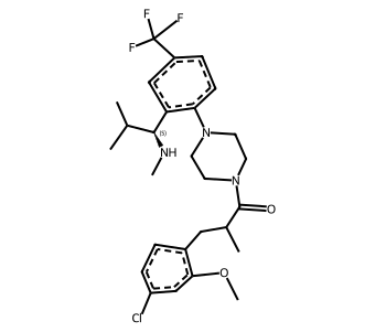 CN[C@H](c1cc(C(F)(F)F)ccc1N1CCN(C(=O)C(C)Cc2ccc(Cl)cc2OC)CC1)C(C)C